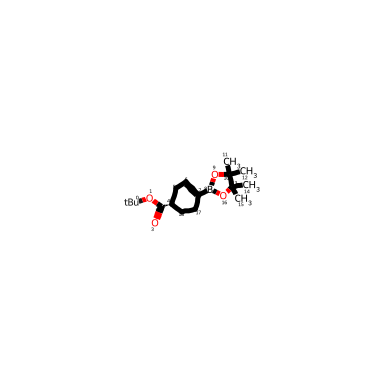 CC(C)(C)OC(=O)[C@@H]1CC=C(B2OC(C)(C)C(C)(C)O2)CC1